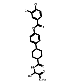 CCC(C)C(NC(=O)C1CCC(c2ccc(NC(=O)c3ccc(Cl)c(Cl)c3)cc2)CC1)C(=O)OC